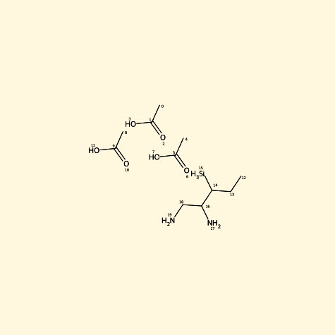 CC(=O)O.CC(=O)O.CC(=O)O.CCC([SiH3])C(N)CN